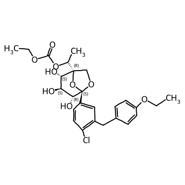 CCOC(=O)OC(C)[C@]12CO[C@@](c3ccc(Cl)c(Cc4ccc(OCC)cc4)c3)(O1)[C@H](O)[C@@H](O)[C@@H]2O